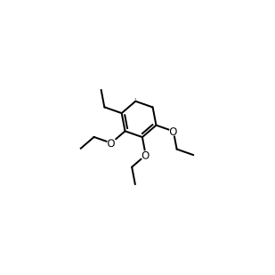 CCOC1=C(OCC)C(OCC)=C(CC)[CH]C1